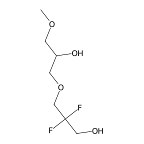 COCC(O)COCC(F)(F)CO